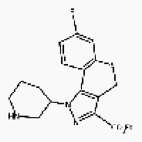 CCOC(=O)c1nn(C2CCCNC2)c2c1CSc1cc(F)ccc1-2